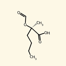 CCCC[C@@](C)(OC=O)C(=O)O